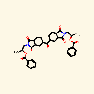 CC(CN1C(=O)C2CCC(C(=O)C3CCC4C(=O)N(CC(C)OC(=O)c5ccccc5)C(=O)C4C3)CC2C1=O)OC(=O)c1ccccc1